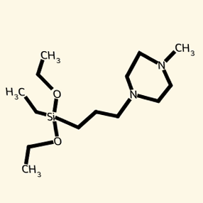 CCO[Si](CC)(CCCN1CCN(C)CC1)OCC